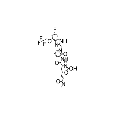 CN(C)C(=O)C=CCCC(NC(=O)O)C(=O)Nc1cccn(Cc2nc3c(OCC(F)(F)F)cc(F)cc3[nH]2)c1=O